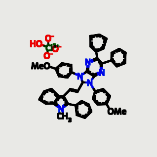 COc1ccc(N2c3nc(-c4ccccc4)c(-c4ccccc4)nc3N(c3ccc(OC)cc3)C2/C=C/c2c(-c3ccccc3)n(C)c3ccccc23)cc1.[O-][Cl+3]([O-])([O-])O